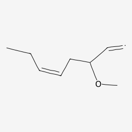 [CH]=CC(C/C=C\CC)OC